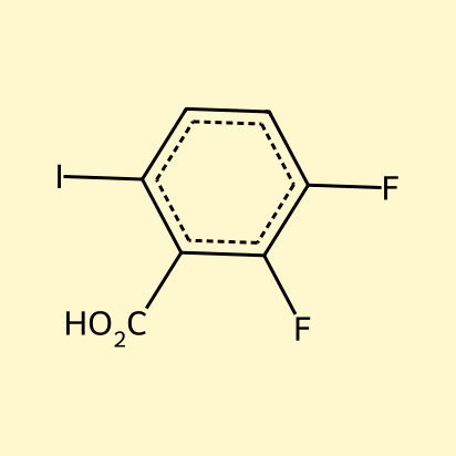 O=C(O)c1c(I)ccc(F)c1F